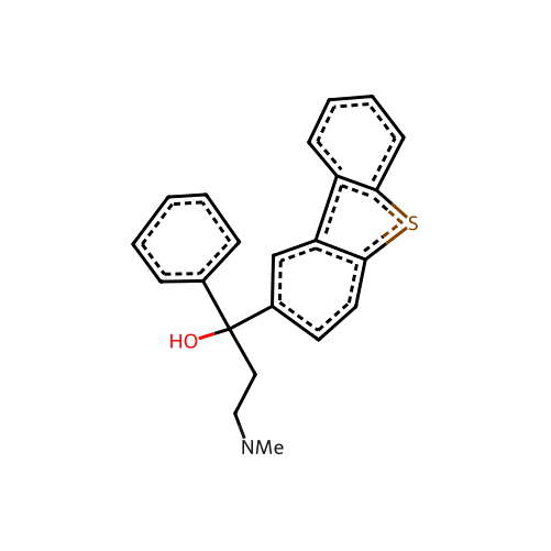 CNCCC(O)(c1ccccc1)c1ccc2sc3ccccc3c2c1